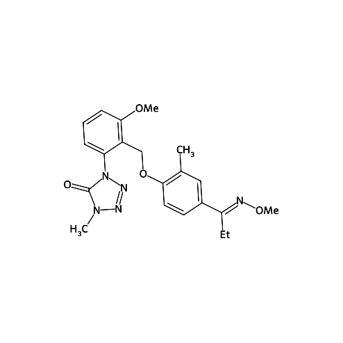 CCC(=NOC)c1ccc(OCc2c(OC)cccc2-n2nnn(C)c2=O)c(C)c1